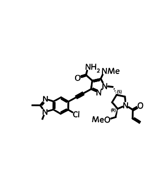 C=CC(=O)N1C[C@@H](Cn2nc(C#Cc3cc4nc(C)n(C)c4cc3Cl)c(C(N)=O)c2NC)C[C@@H]1COC